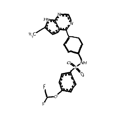 Cc1cc2c(C3=CCC(NS(=O)(=O)c4ccc(OC(F)F)cc4)CC3)ncnc2[nH]1